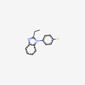 CCc1nc2ccccc2n1-c1ccc(F)cc1